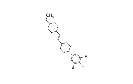 CCC1CCC(C=CC2CCC(c3cc(F)c(F)c(F)c3)CC2)CC1